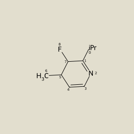 CC(C)C1=NC=CC(C)C1F